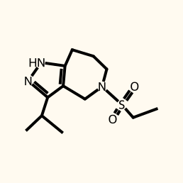 CCS(=O)(=O)N1CCCc2[nH]nc(C(C)C)c2C1